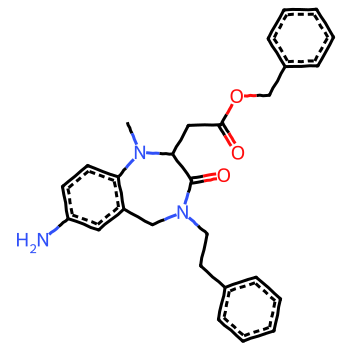 CN1c2ccc(N)cc2CN(CCc2ccccc2)C(=O)C1CC(=O)OCc1ccccc1